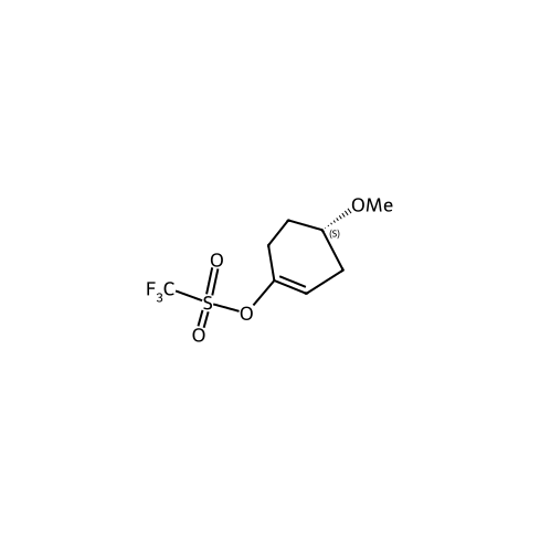 CO[C@@H]1CC=C(OS(=O)(=O)C(F)(F)F)CC1